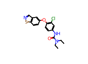 CCN(CC)C(=O)Nc1ccc(Oc2ccc3sncc3c2)c(Cl)c1